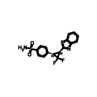 NS(=O)(=O)c1ccc([C@@H]2[C@@H](c3nc4ccccc4s3)C2(F)F)cc1